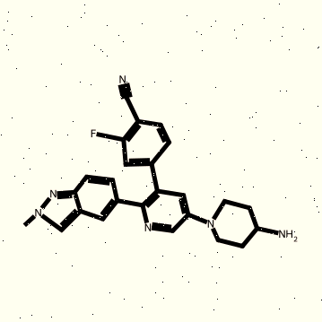 Cn1cc2cc(-c3ncc(N4CCC(N)CC4)cc3-c3ccc(C#N)c(F)c3)ccc2n1